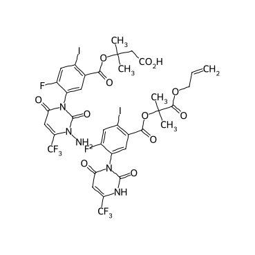 C=CCOC(=O)C(C)(C)OC(=O)c1cc(-n2c(=O)cc(C(F)(F)F)[nH]c2=O)c(F)cc1I.CC(C)(CC(=O)O)OC(=O)c1cc(-n2c(=O)cc(C(F)(F)F)n(N)c2=O)c(F)cc1I